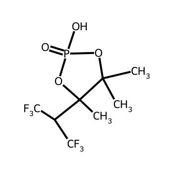 CC1(C)OP(=O)(O)OC1(C)C(C(F)(F)F)C(F)(F)F